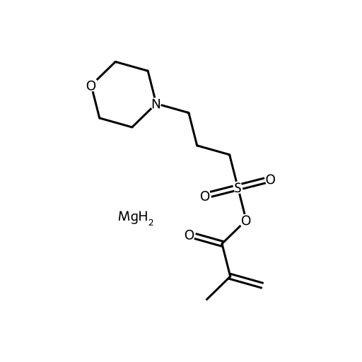 C=C(C)C(=O)OS(=O)(=O)CCCN1CCOCC1.[MgH2]